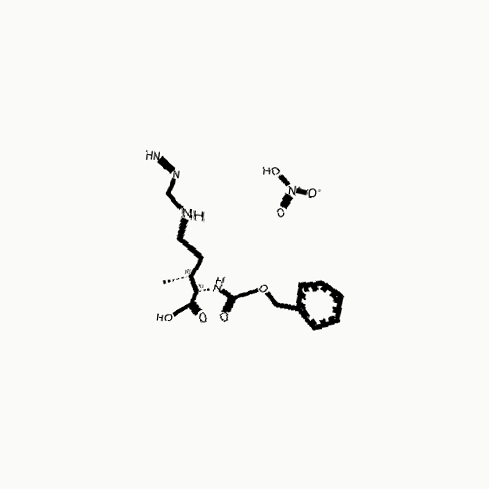 C[C@H](CCNCN=N)[C@H](NC(=O)OCc1ccccc1)C(=O)O.O=[N+]([O-])O